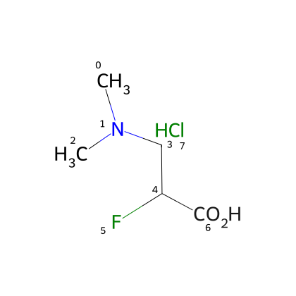 CN(C)CC(F)C(=O)O.Cl